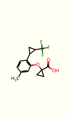 Cc1ccc(C2CC2C(F)(F)F)c(OC2(C(=O)O)CC2)c1